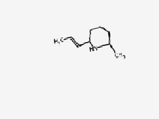 CC=CC1CCCC(C)N1